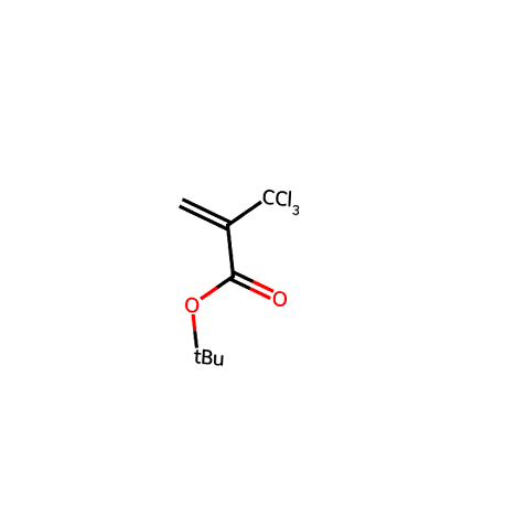 C=C(C(=O)OC(C)(C)C)C(Cl)(Cl)Cl